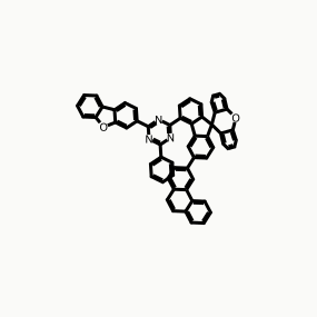 c1ccc(-c2nc(-c3ccc4c(c3)oc3ccccc34)nc(-c3cccc4c3-c3cc(-c5ccc6ccc7ccccc7c6c5)ccc3C43c4ccccc4Oc4ccccc43)n2)cc1